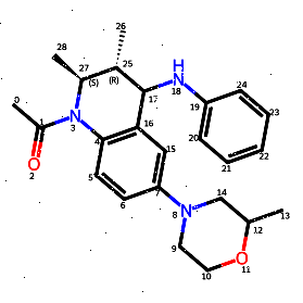 CC(=O)N1c2ccc(N3CCOC(C)C3)cc2C(Nc2ccccc2)[C@@H](C)[C@@H]1C